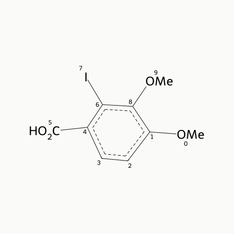 COc1ccc(C(=O)O)c(I)c1OC